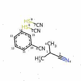 CC(C)C#N.N#CS.N#CS.N#Cc1ccccc1